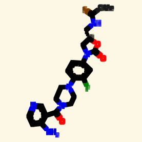 COC(=S)NC[C@H]1CN(c2ccc(N3CCN(C(=O)c4cnccc4N)CC3)c(F)c2)C(=O)O1